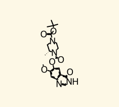 COc1cc2nc[nH]c(=O)c2cc1OC(=O)N1CCN(C(=O)OC(C)(C)C)C[C@H]1C